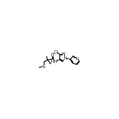 CSCC(C)(C)C(=O)Nc1cn(-c2cccnc2)nc1Cl